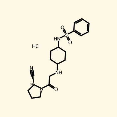 Cl.N#C[C@@H]1CCCN1C(=O)CNC1CCC(NS(=O)(=O)c2ccccc2)CC1